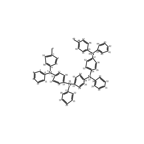 Cc1ccc(N(c2ccccc2)c2ccc(N(c3ccccc3)c3ccc(N(c4ccccc4)c4ccc(N(c5ccccc5)c5ccc(C)cc5)cc4)cc3)cc2)cc1